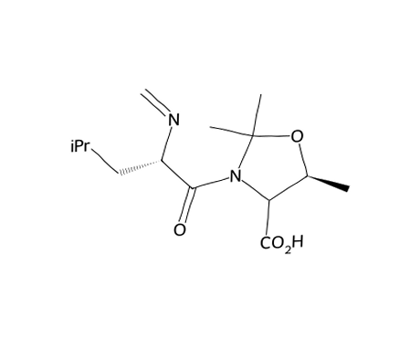 C=N[C@@H](CC(C)C)C(=O)N1C(C(=O)O)[C@H](C)OC1(C)C